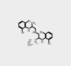 CCc1cccc(CC)c1NC(C)CNCC(C)Nc1c(CC)cccc1CC.[Cl-].[Cl-].[Co+2]